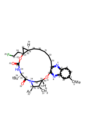 COc1ccc2nc3c(nc2c1)O[C@H]1CN(C(=O)[C@H](C(C)(C)C)NC(=O)O[C@]2(CCF)C[C@H]2CCCCC3)[C@H](C(C)=O)[C@@H]1C